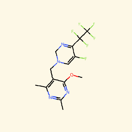 COc1nc(C)nc(C)c1CN1C=C(F)C(C(F)(F)C(F)(F)F)=NC1